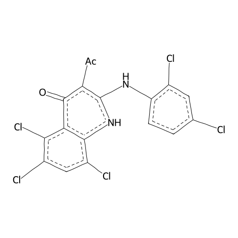 CC(=O)c1c(Nc2ccc(Cl)cc2Cl)[nH]c2c(Cl)cc(Cl)c(Cl)c2c1=O